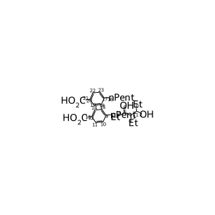 CCC(O)C(CC)C(O)CC.CCCCCc1ccc(C(=O)O)cc1.CCCCCc1ccc(C(=O)O)cc1